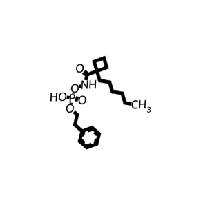 CCCCCCC1(C(=O)NOP(=O)(O)OCCc2ccccc2)CCC1